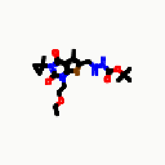 CCOCCn1c(=O)n(C2(C)CC2)c(=O)c2c(C)c(CNNC(=O)OC(C)(C)C)sc21